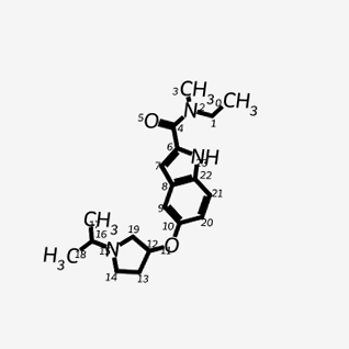 CCN(C)C(=O)c1cc2cc(OC3CCN(C(C)C)C3)ccc2[nH]1